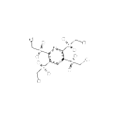 O=S(=O)(CCl)c1cc(S(=O)(=O)CCl)c(S(=O)(=O)CCl)nc1S(=O)(=O)CCl